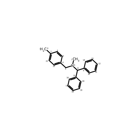 [CH2]c1ccc(CN(C)C(c2ccccc2)c2ccccc2)cc1